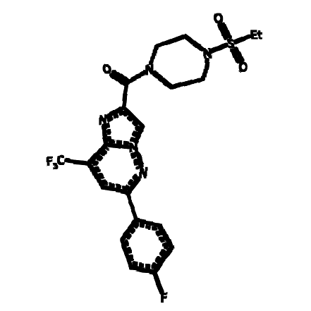 CCS(=O)(=O)N1CCN(C(=O)c2cn3nc(-c4ccc(F)cc4)cc(C(F)(F)F)c3n2)CC1